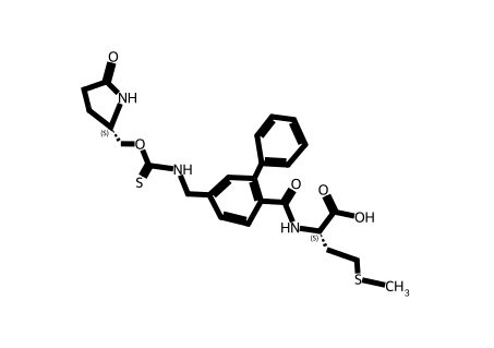 CSCC[C@H](NC(=O)c1ccc(CNC(=S)OC[C@@H]2CCC(=O)N2)cc1-c1ccccc1)C(=O)O